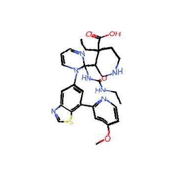 CCNC(=O)NC1(C2CNCCC2(CC)C(=O)O)N=CC=CN1c1cc(-c2cc(OC)ccn2)c2scnc2c1